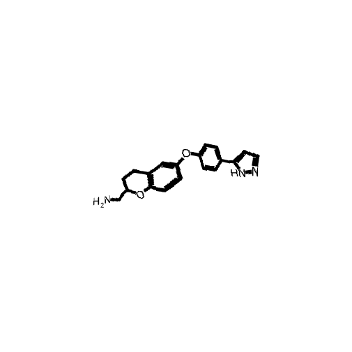 NCC1CCc2cc(Oc3ccc(-c4ccn[nH]4)cc3)ccc2O1